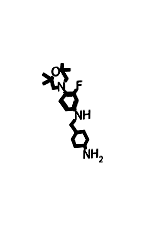 CC1(C)CN(c2ccc(NCC3CCC(N)CC3)cc2F)CC(C)(C)O1